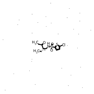 CCC(=O)[C@@H](CC)CNS(=O)(=O)c1ccc(Cl)s1